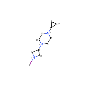 IN1CC(N2CCN(C3CC3)CC2)C1